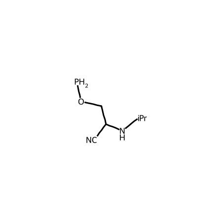 CC(C)NC(C#N)COP